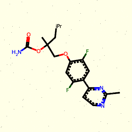 Cc1nccc(-c2cc(F)c(OCC(C)(CC(C)C)OC(N)=O)cc2F)n1